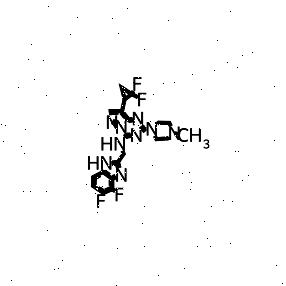 CN1CCN(c2nc(NCc3nc4c(F)c(F)ccc4[nH]3)n3ncc(C4CC4(F)F)c3n2)CC1